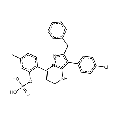 Cc1ccc(C2=CCNc3c(-c4ccc(Cl)cc4)c(Cc4ccccc4)nn32)c(OP(=O)(O)O)c1